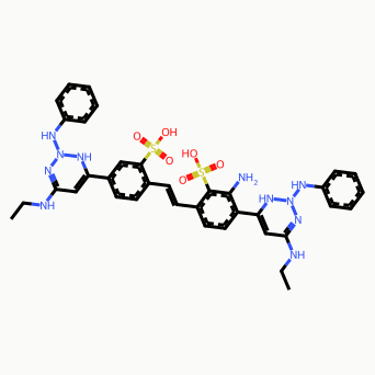 CCNC1=NN(Nc2ccccc2)NC(c2ccc(C=Cc3ccc(C4=CC(NCC)=NN(Nc5ccccc5)N4)c(N)c3S(=O)(=O)O)c(S(=O)(=O)O)c2)=C1